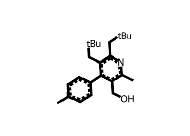 Cc1ccc(-c2c(CO)c(C)nc(CC(C)(C)C)c2CC(C)(C)C)cc1